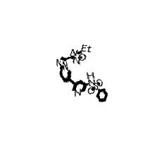 CCc1nc(-c2cnc3ccc(-c4cncc(NS(=O)(=O)c5ccccc5)c4)cn23)no1